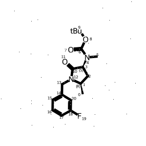 C[C@@H]1C[C@H](N(C)C(=O)OC(C)(C)C)C(=O)N1Cc1cccc(F)c1